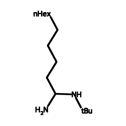 CCCCCCCCCCC(N)NC(C)(C)C